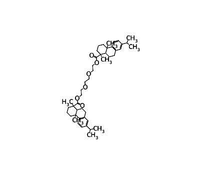 CC(C)c1ccc2c(c1)CCC1C(C)(C(=O)OCCOCCOCCOC(=O)C3(C)CCCC4(C)c5ccc(C(C)C)cc5CCC34)CCCC21C